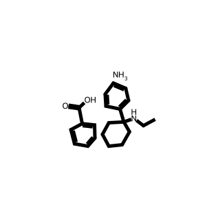 CCNC1(c2ccccc2)CCCCC1.N.O=C(O)c1ccccc1